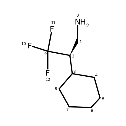 NC[C@@H](C1CCCCC1)C(F)(F)F